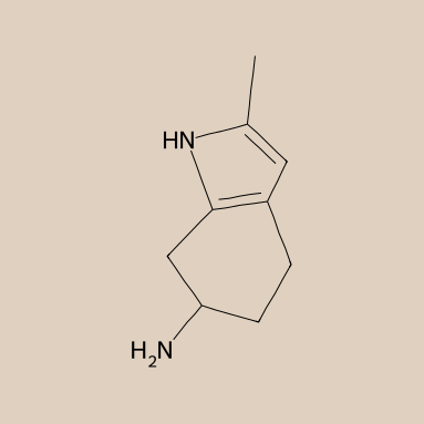 Cc1cc2c([nH]1)CC(N)CC2